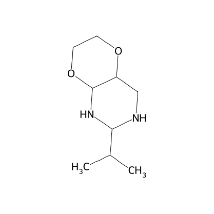 CC(C)C1NCC2OCCOC2N1